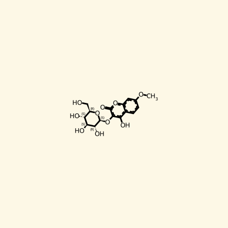 COc1ccc2c(O)c(O[C@@H]3O[C@H](CO)[C@@H](O)[C@H](O)[C@H]3O)c(=O)oc2c1